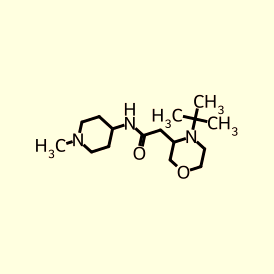 CN1CCC(NC(=O)CC2COCCN2C(C)(C)C)CC1